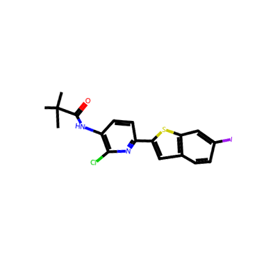 CC(C)(C)C(=O)Nc1ccc(-c2cc3ccc(I)cc3s2)nc1Cl